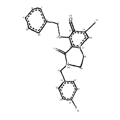 O=C1c2c(OCc3ccccc3)c(=O)c(I)cn2CCN1Cc1ccc(F)cc1